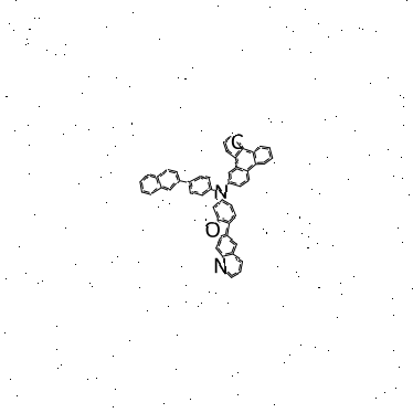 c1ccc2cc(-c3ccc(N(c4ccc5c(c4)oc4cc6ncccc6cc45)c4ccc5c6ccccc6c6ccccc6c5c4)cc3)ccc2c1